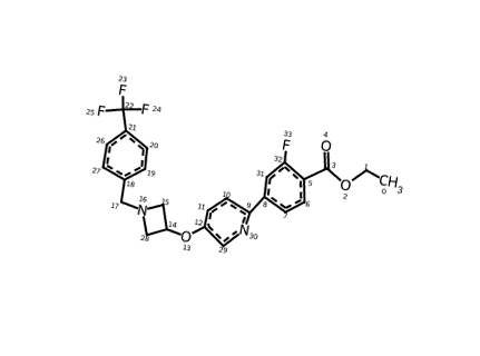 CCOC(=O)c1ccc(-c2ccc(OC3CN(Cc4ccc(C(F)(F)F)cc4)C3)cn2)cc1F